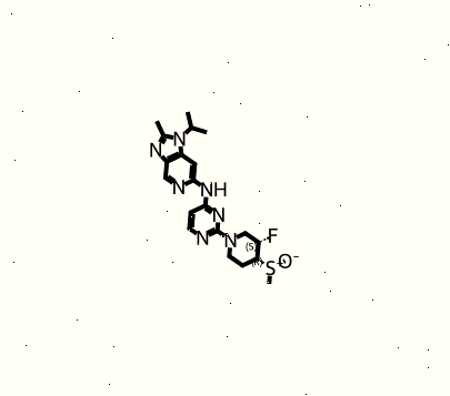 Cc1nc2cnc(Nc3ccnc(N4CC[C@@H]([S+](C)[O-])[C@@H](F)C4)n3)cc2n1C(C)C